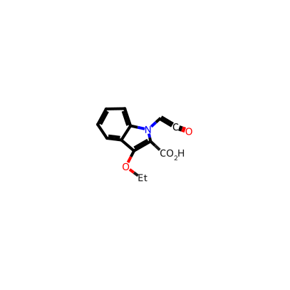 CCOc1c(C(=O)O)n(C=C=O)c2ccccc12